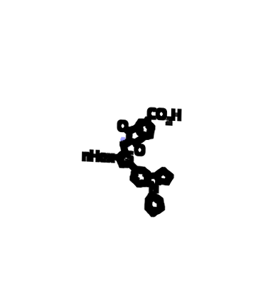 CCCCCCc1cc(-c2ccc3c(c2)C2CCCC2N3c2ccccc2)sc1/C=C1\C(=O)c2ccc(C(=O)O)cc2C1=O